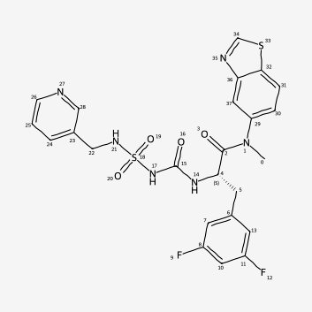 CN(C(=O)[C@H](Cc1cc(F)cc(F)c1)NC(=O)NS(=O)(=O)NCc1cccnc1)c1ccc2scnc2c1